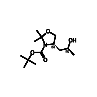 C[C@H](O)C[C@H]1COC(C)(C)N1C(=O)OC(C)(C)C